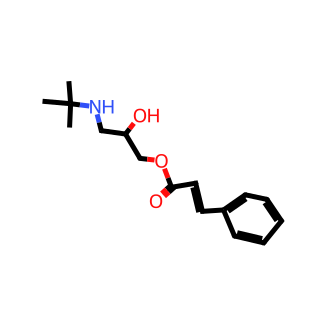 CC(C)(C)NCC(O)COC(=O)C=Cc1ccccc1